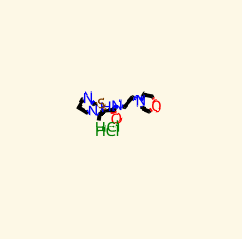 CC1=C(C(=O)NCCN2CCOCC2)SC2=NCCCN21.Cl.Cl